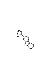 c1coc(-c2ccc3c(c2)oc2ccccc23)c1